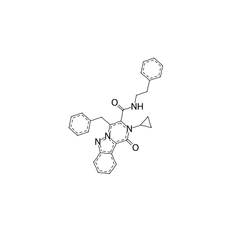 O=C(NCCc1ccccc1)c1c(Cc2ccccc2)n2nc3ccccc3c2c(=O)n1C1CC1